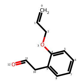 C=CCOc1ccccc1CC=O